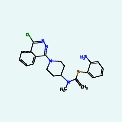 C=C(Sc1ccccc1N)N(C)C1CCN(c2nnc(Cl)c3ccccc23)CC1